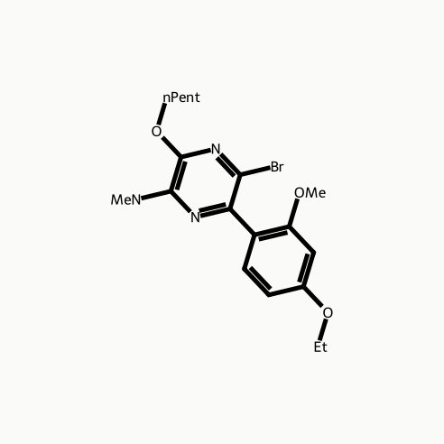 CCCCCOc1nc(Br)c(-c2ccc(OCC)cc2OC)nc1NC